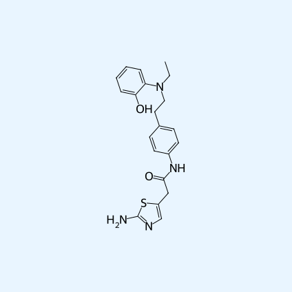 CCN(CCc1ccc(NC(=O)Cc2cnc(N)s2)cc1)c1ccccc1O